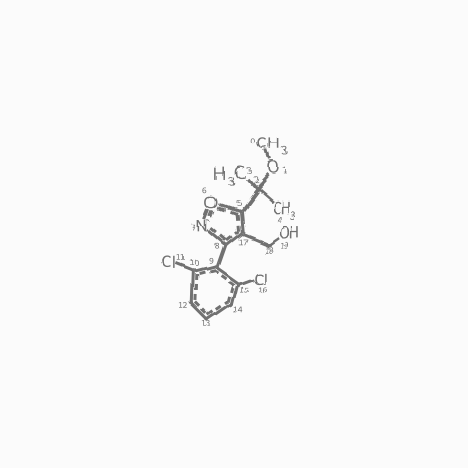 COC(C)(C)c1onc(-c2c(Cl)cccc2Cl)c1CO